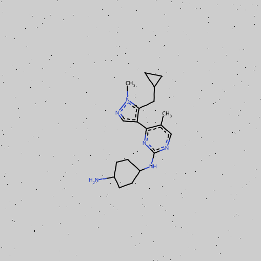 Cc1cnc(NC2CCC(N)CC2)nc1-c1cnn(C)c1CC1CC1